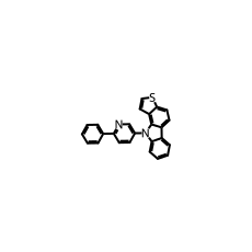 c1ccc(-c2ccc(-n3c4ccccc4c4ccc5sccc5c43)cn2)cc1